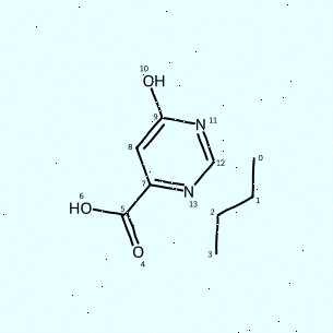 CCCC.O=C(O)c1cc(O)ncn1